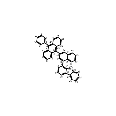 c1ccc(-c2c3ccccc3c(-c3cc(-c4cccc5c4oc4ccccc45)c4ccccc4c3)c3ccccc23)cc1